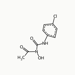 CC(=O)N(O)C(=O)Nc1ccc(Cl)cc1